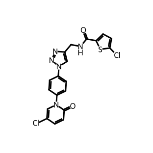 O=C(NCc1cn(-c2ccc(-n3cc(Cl)ccc3=O)cc2)nn1)c1ccc(Cl)s1